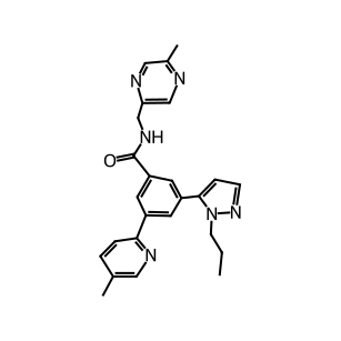 CCCn1nccc1-c1cc(C(=O)NCc2cnc(C)cn2)cc(-c2ccc(C)cn2)c1